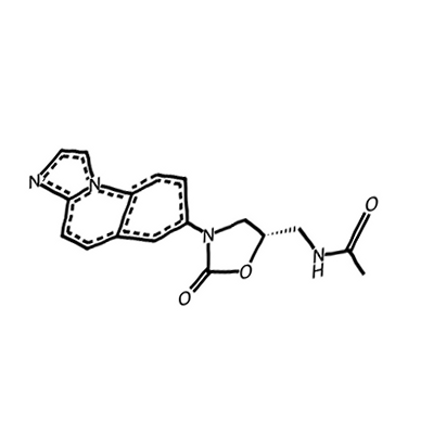 CC(=O)NC[C@H]1CN(c2ccc3c(ccc4nccn43)c2)C(=O)O1